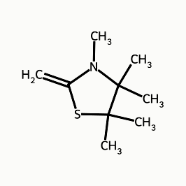 C=C1SC(C)(C)C(C)(C)N1C